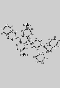 CC(C)(C)c1ccc2c(-c3ccc4ccccc4c3)c3cc(C(C)(C)C)ccc3c(-c3ccc(-n4c(-c5ccccc5)nc5ccccc54)cc3)c2c1